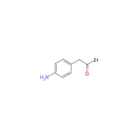 CCC(=O)Cc1ccc(N)cc1